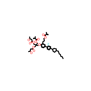 C=C(C)C(=O)OCCCc1cc(-c2ccc(C3CCC(CCCCCC)CC3)cc2F)ccc1OCC(COC(=O)CC(C)=O)(COC(=O)CC(C)=O)COC(=O)C(=C)C